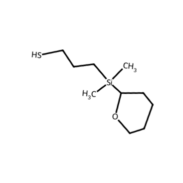 C[Si](C)(CCCS)C1CCCCO1